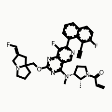 C#Cc1c(F)ccc2cccc(-c3ncc4c(N(C)[C@@H]5CCN(C(=O)C=C)[C@@H]5C)nc(OCC56CCCN5C/C(=C\F)C6)nc4c3F)c12